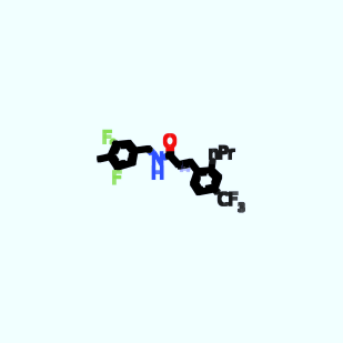 CCCc1cc(C(F)(F)F)ccc1/C=C/C(=O)NCc1cc(F)c(C)c(F)c1